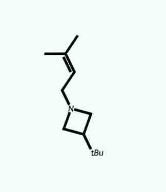 CC(C)=CCN1CC(C(C)(C)C)C1